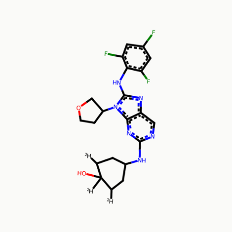 [2H]C1CC(Nc2ncc3nc(Nc4c(F)cc(F)cc4F)n(C4CCOC4)c3n2)CC([2H])C1([2H])O